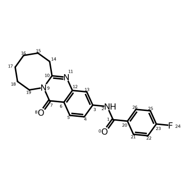 O=C(Nc1ccc2c(=O)n3c(nc2c1)CCCCCC3)c1ccc(F)cc1